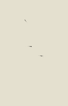 C[C@@H](O)[C@H]1CC[C@H]2[C@@H]3C=CC4=CC(=O)C=C[C@]4(C)[C@H]3CC[C@]12C